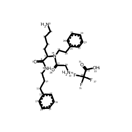 NCCCCC(C(=O)NCCCc1ccccc1)N(CCc1ccccc1)C(=O)CN.O=C(O)C(F)(F)F